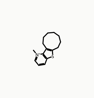 C[n+]1cccc2sc3c(c21)CCCCCCC3